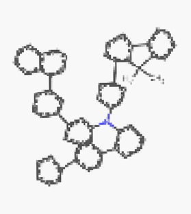 CC1(C)c2ccccc2-c2cccc(-c3ccc(N(c4cccc(-c5cccc(-c6cccc7ccccc67)c5)c4)c4ccccc4-c4ccc(-c5ccccc5)cc4)cc3)c21